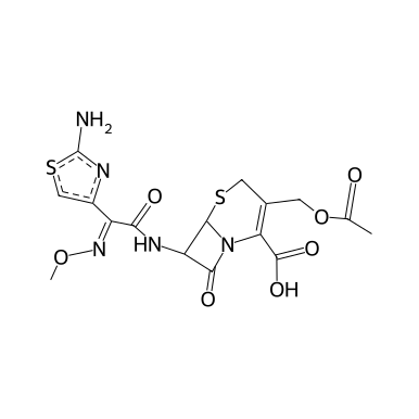 CON=C(C(=O)NC1C(=O)N2C(C(=O)O)=C(COC(C)=O)CSC12)c1csc(N)n1